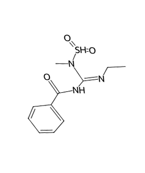 CC/N=C(/NC(=O)c1ccccc1)N(C)[SH](=O)=O